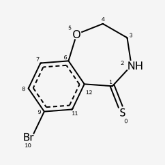 S=C1NCCOc2ccc(Br)cc21